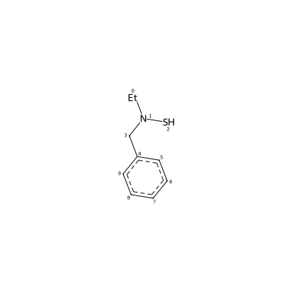 CCN(S)Cc1ccccc1